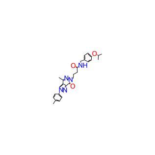 Cc1ccc(-n2cc3c(C)nn(CCCC(=O)NCc4ccc(OC(C)C)cc4)c(=O)c3n2)cc1